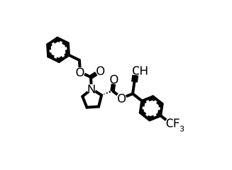 C#CC(OC(=O)[C@@H]1CCCN1C(=O)OCc1ccccc1)c1ccc(C(F)(F)F)cc1